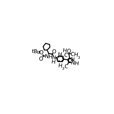 Cc1[nH]nc(C(C)(C)O)c1-c1ccc(NC(=O)C(NC(=O)OC(C)(C)C)C2CCCCC2)cc1